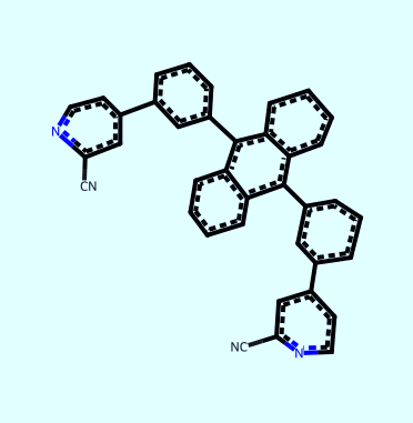 N#Cc1cc(-c2cccc(-c3c4ccccc4c(-c4cccc(-c5ccnc(C#N)c5)c4)c4ccccc34)c2)ccn1